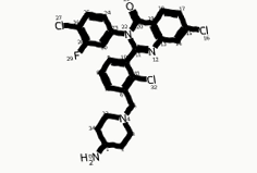 NC1CCN(Cc2cccc(-c3nc4cc(Cl)ccc4c(=O)n3-c3ccc(Cl)c(F)c3)c2Cl)CC1